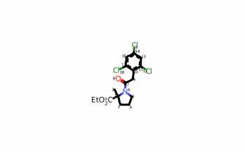 CCOC(=O)C1(C)CCCN1C(=O)Cc1c(Cl)cc(Cl)cc1Cl